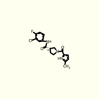 Cc1ccc(C(=O)N2CC[C@H](C(=O)Nc3ccc(F)c(Cl)c3)C2)[nH]1